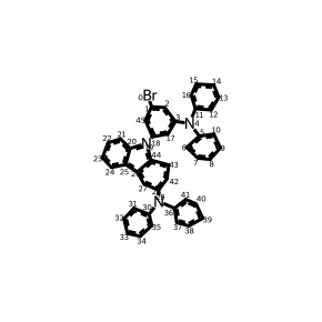 Brc1cc(N(c2ccccc2)c2ccccc2)cc(-n2c3ccccc3c3cc(N(c4ccccc4)c4ccccc4)ccc32)c1